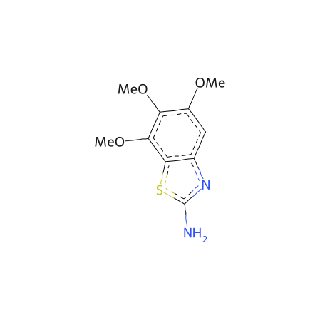 COc1cc2nc(N)sc2c(OC)c1OC